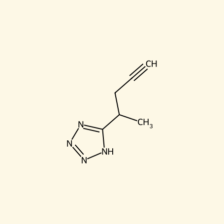 C#CCC(C)c1nnn[nH]1